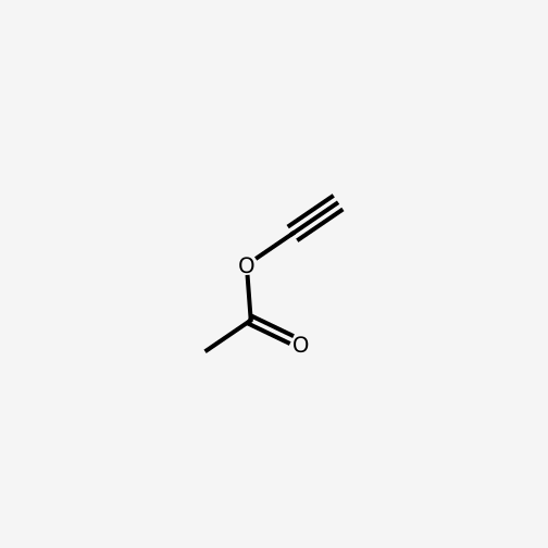 C#COC(C)=O